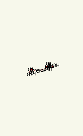 C=CCn1c(=O)c2cnc(Nc3ccc(N4CCN(CCOCCCc5ccc6c(c5)n(C)c(=O)n6C5CCC(=O)NC5=O)CC4)cc3)nc2n1-c1ccc2c(n1)[C@@](O)(CC)CC2